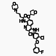 N#Cc1cnc2c(NC(=O)/C=C/CN3CCOCC3)c(O[C@H]3CCOC3)ccc2c1Nc1ccc(OCc2cccc(F)c2)c(Cl)c1